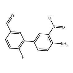 Nc1ccc(-c2cc(C=O)ccc2F)cc1[N+](=O)[O-]